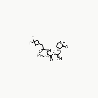 CC(C)C[C@H](NC(=O)CC1CC(F)(F)C1)C(=O)N[C@H](C#N)C[C@@H]1CCNC1=O